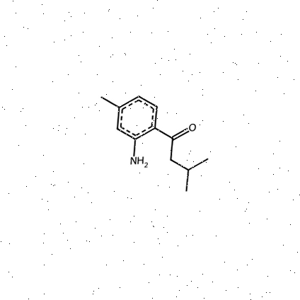 Cc1ccc(C(=O)CC(C)C)c(N)c1